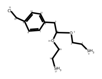 [SiH3]CCOC(Cc1ccc(CCl)cc1)OCC[SiH3]